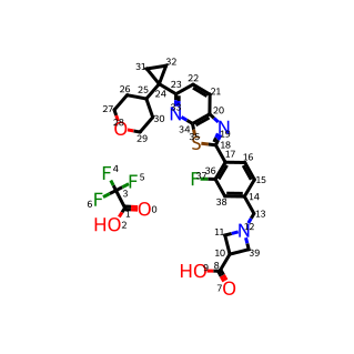 O=C(O)C(F)(F)F.O=C(O)C1CN(Cc2ccc(-c3nc4ccc(C5(C6CCOCC6)CC5)nc4s3)c(F)c2)C1